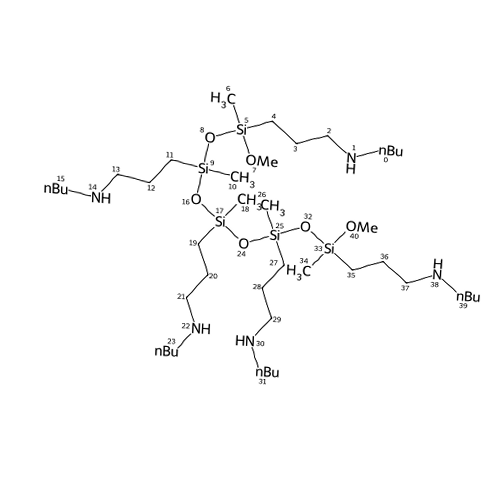 CCCCNCCC[Si](C)(OC)O[Si](C)(CCCNCCCC)O[Si](C)(CCCNCCCC)O[Si](C)(CCCNCCCC)O[Si](C)(CCCNCCCC)OC